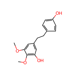 COc1cc(CCc2ccc(O)cc2)cc(O)c1OC